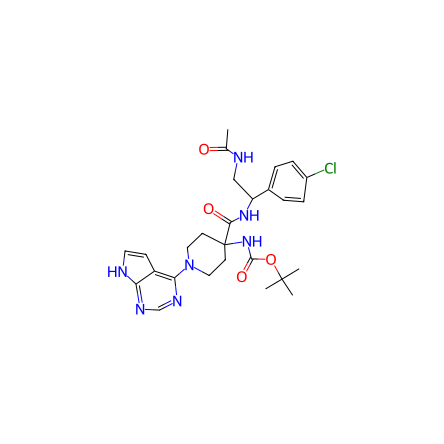 CC(=O)NCC(NC(=O)C1(NC(=O)OC(C)(C)C)CCN(c2ncnc3[nH]ccc23)CC1)c1ccc(Cl)cc1